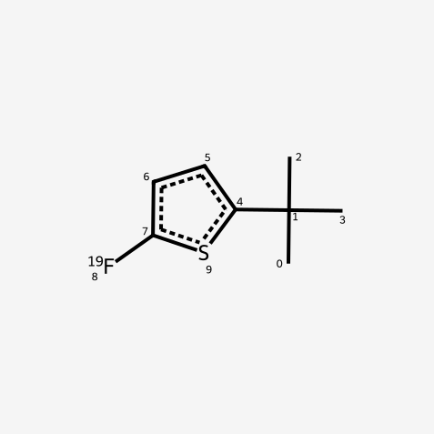 CC(C)(C)c1ccc([19F])s1